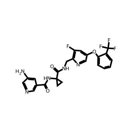 Nc1cncc(C(=O)NC2(C(=O)NCc3ncc(Oc4ccccc4C(F)(F)F)cc3F)CC2)c1